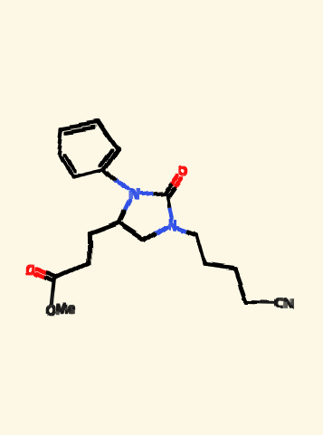 COC(=O)CCC1CN(CCCCC#N)C(=O)N1c1ccccc1